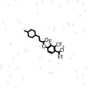 CCC(=O)c1ccc(OC(=O)CCC2CCC(C)CC2)c(F)c1C(F)(F)F